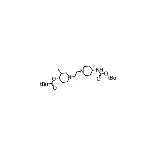 C[C@H]1CN([C@@H](C)CN2CCC(NC(=O)OC(C)(C)C)CC2)CC[C@@H]1OC(=O)C(C)(C)C